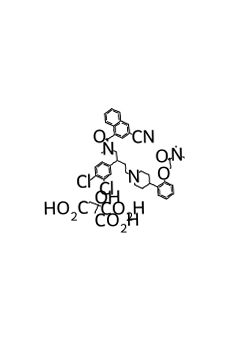 CN(C)C(=O)COc1ccccc1C1CCN(CCC(CN(C)C(=O)c2cc(C#N)cc3ccccc23)c2ccc(Cl)c(Cl)c2)CC1.O=C(O)CC(O)(CC(=O)O)C(=O)O